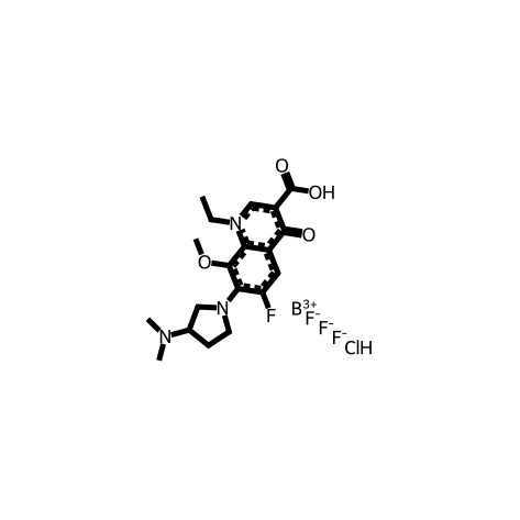 CCn1cc(C(=O)O)c(=O)c2cc(F)c(N3CCC(N(C)C)C3)c(OC)c21.Cl.[B+3].[F-].[F-].[F-]